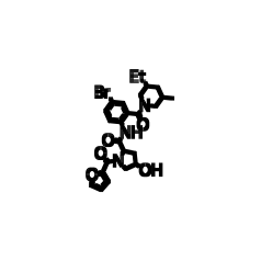 CCC1CC(C)CN(C(=O)c2cc(Br)ccc2NC(=O)C2CC(O)CN2C(=O)c2ccco2)C1